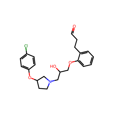 O=CCCc1ccccc1OCC(O)CN1CCC(Oc2ccc(Cl)cc2)C1